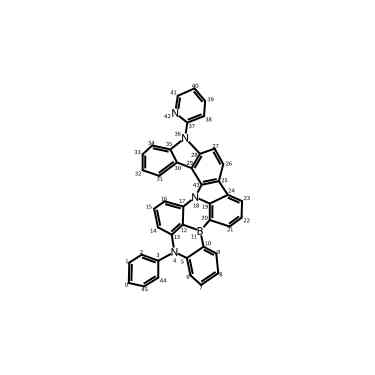 c1ccc(N2c3ccccc3B3c4c2cccc4-n2c4c3cccc4c3ccc4c(c5ccccc5n4-c4ccccn4)c32)cc1